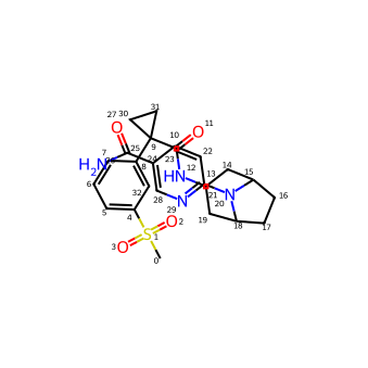 CS(=O)(=O)c1cccc(C2(C(=O)NC3CC4CCC(C3)N4c3ccc(C(N)=O)cn3)CC2)c1